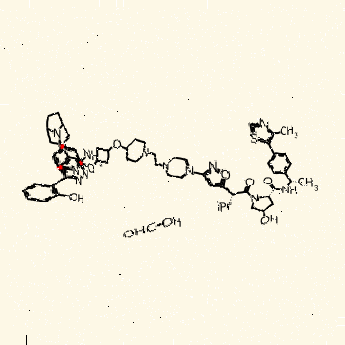 Cc1ncsc1-c1ccc([C@H](C)NC(=O)[C@@H]2C[C@@H](O)CN2C(=O)[C@@H](c2cc(N3CCN(CCN4CCC(OC5CC(Oc6cc(N7C8CCC7CN(c7cc(-c9ccccc9O)nnc7N)C8)ccn6)C5)CC4)CC3)no2)C(C)C)cc1.O=CO